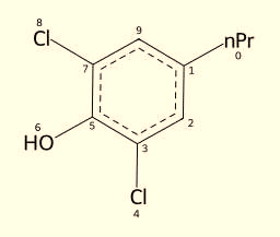 CCCc1cc(Cl)c(O)c(Cl)c1